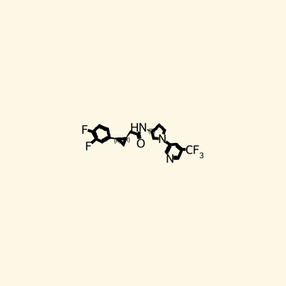 O=C(C[C@H]1C[C@H]1c1ccc(F)c(F)c1)N[C@@H]1CCN(c2cncc(C(F)(F)F)c2)C1